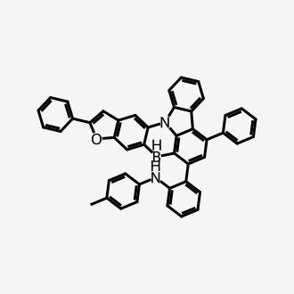 Cc1ccc(Nc2ccccc2-c2cc(-c3ccccc3)c3c4ccccc4n4c3c2Bc2cc3oc(-c5ccccc5)cc3cc2-4)cc1